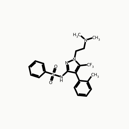 Cc1ccccc1-c1c(NS(=O)(=O)c2ccccc2)nn(CCN(C)C)c1C(F)(F)F